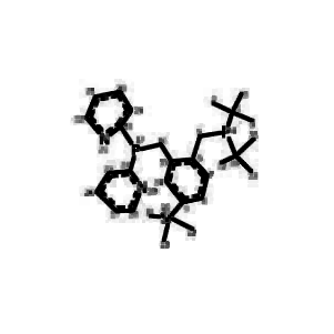 CC(C)(C)P(Cc1ccc([Si](C)(C)C)cc1CP(c1ccccn1)c1ccccn1)C(C)(C)C